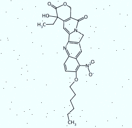 CCCCCCOc1ccc2nc3c(cc2c1[N+](=O)[O-])Cn1c-3cc2c(c1=O)COC(=O)C2(O)CC